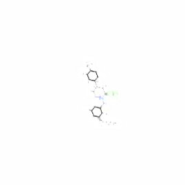 CCc1ccc(C2CCN(Cc3cccc(OC)c3)CC2)cc1.Cl